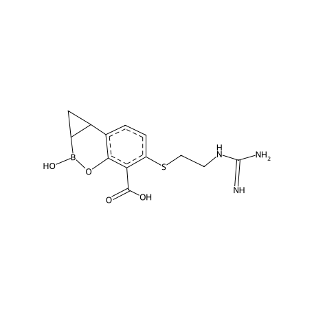 N=C(N)NCCSc1ccc2c(c1C(=O)O)OB(O)C1CC21